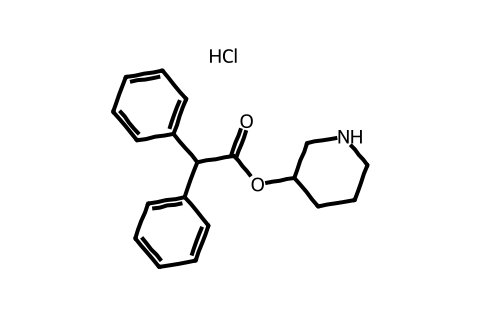 Cl.O=C(OC1CCCNC1)C(c1ccccc1)c1ccccc1